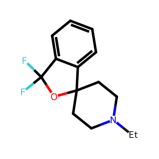 CCN1CCC2(CC1)OC(F)(F)c1ccccc12